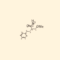 COCC(CCc1ccccc1)C(N)=O